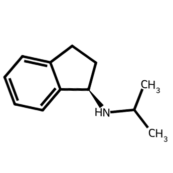 CC(C)N[C@@H]1CCc2ccccc21